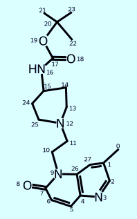 Cc1cnc2ccc(=O)n(CCN3CCC(NC(=O)OC(C)(C)C)CC3)c2c1